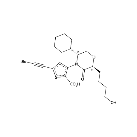 CC(C)(C)C#Cc1cc(N2C(=O)[C@H](CCCCO)OC[C@H]2C2CCCCC2)c(C(=O)O)s1